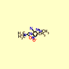 CN(C)/C=N\c1ccc([N+](=O)[O-])c(N2CC(N(C)C)C2)c1C#N